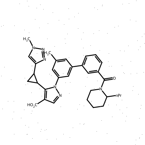 CCCC1CCCCN1C(=O)c1cccc(-c2cc(C)cc(-n3ncc(C(=O)O)c3C3CC3c3cn(C)nn3)c2)c1